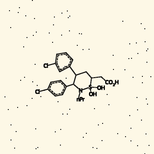 CCCN1C(c2ccc(Cl)cc2)C(c2cccc(Cl)c2)CC(CC(=O)O)S1(O)O